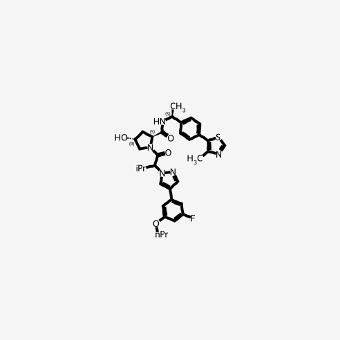 CCCOc1cc(F)cc(-c2cnn(C(C(=O)N3C[C@H](O)C[C@H]3C(=O)N[C@@H](C)c3ccc(-c4scnc4C)cc3)C(C)C)c2)c1